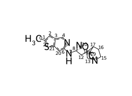 Cc1cc2cnc(NC3=NOC4(C3)CN3CCC4CC3)cc2s1